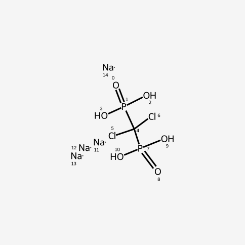 O=P(O)(O)C(Cl)(Cl)P(=O)(O)O.[Na].[Na].[Na].[Na]